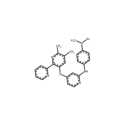 CC(=O)N(C)c1ccc(Nc2cc(Oc3cc(C)c(C)nc3-c3ccccn3)ccn2)cc1